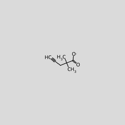 C#CCC(C)(C)C([O])=O